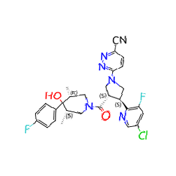 C[C@@H]1CN(C(=O)[C@@H]2CN(c3ccc(C#N)nn3)C[C@H]2c2ncc(Cl)cc2F)C[C@H](C)C1(O)c1ccc(F)cc1